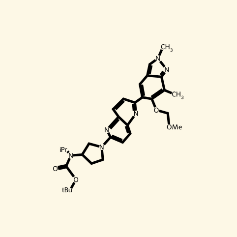 COCOc1c(-c2ccc3nc(N4CCC(N(C(=O)OC(C)(C)C)C(C)C)C4)ccc3n2)cc2cn(C)nc2c1C